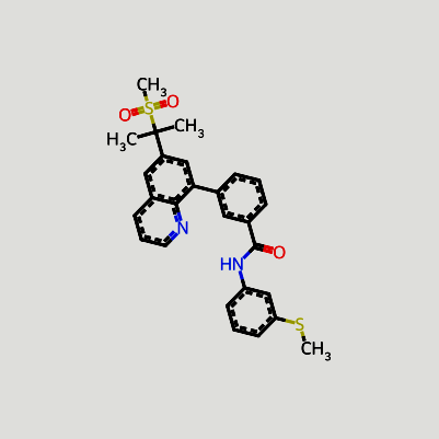 CSc1cccc(NC(=O)c2cccc(-c3cc(C(C)(C)S(C)(=O)=O)cc4cccnc34)c2)c1